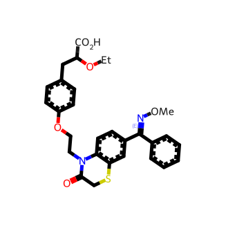 CCOC(Cc1ccc(OCCN2C(=O)CSc3cc(/C(=N/OC)c4ccccc4)ccc32)cc1)C(=O)O